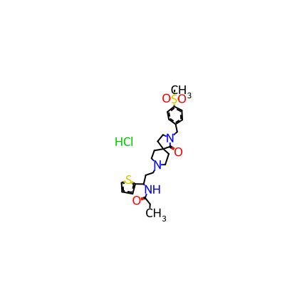 CCC(=O)NC(CCN1CCC2(CC1)CCN(Cc1ccc(S(C)(=O)=O)cc1)C2=O)c1cccs1.Cl